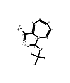 CC(C)(C)OC(=O)N1C=CC=CC=C1C(=O)O